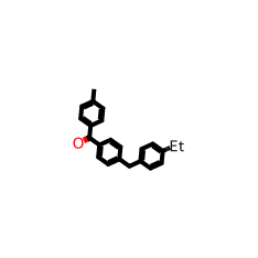 CCc1ccc(Cc2ccc(C(=O)c3ccc(C)cc3)cc2)cc1